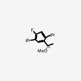 CO[C@@H](C)c1cc(C(C)C)c(F)cc1C(C)C